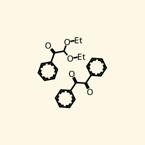 CCOC(OCC)C(=O)c1ccccc1.O=C(C(=O)c1ccccc1)c1ccccc1